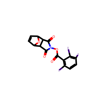 O=C(ON1C(=O)C2C3C=CC(O3)C2C1=O)c1c(I)ccc(I)c1I